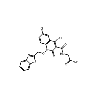 O=C(O)CNC(=O)c1c(O)c2cc(Cl)ccc2n(OCc2nc3ccccc3s2)c1=O